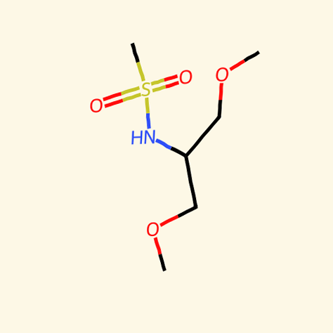 COCC(COC)NS(C)(=O)=O